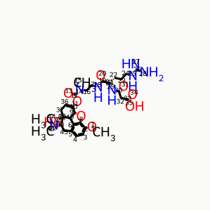 COc1ccc2c3c1OC1C(OC(=O)N(C)CCNC(=O)[C@H](CCCNC(=N)N)NC(=O)CC(=O)O)=CC[C@@](O)(C31)[C@@H](N(C)C)C2